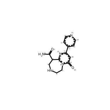 NC(=O)C1CNCCn2c1nc(-c1ccncc1)cc2=O